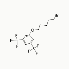 FC(F)(F)c1cc(OCCCCCBr)cc(C(F)(F)F)c1